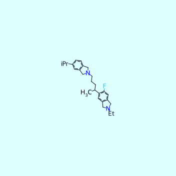 CCN1Cc2cc(F)c(C(C)CCCN3Cc4ccc(C(C)C)cc4C3)cc2C1